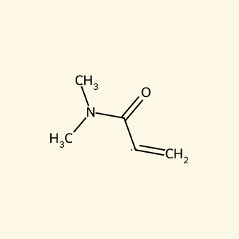 C=[C]C(=O)N(C)C